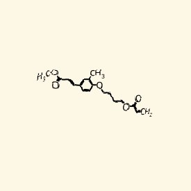 C=CC(=O)OCCCCOc1ccc(/C=C/C(=O)OC)cc1C